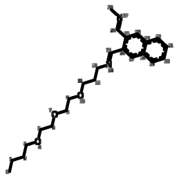 CCCCOCCOCCOCCCN=Cc1cc2ccccc2cc1C=NC